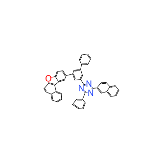 c1ccc(-c2cc(-c3ccc4oc5ccc6ccccc6c5c4c3)cc(-c3nc(-c4ccccc4)nc(-c4ccc5ccccc5c4)n3)c2)cc1